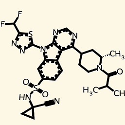 CC(C)C(=O)N1CCC(c2ncnc3c2c2ccc(S(=O)(=O)NC4(C#N)CC4)cc2n3-c2nnc(C(F)F)s2)C[C@@H]1C